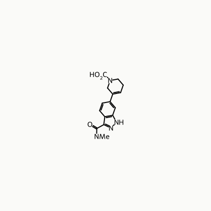 CNC(=O)c1n[nH]c2cc(C3=CCCN(C(=O)O)C3)ccc12